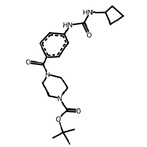 CC(C)(C)OC(=O)N1CCN(C(=O)c2ccc(NC(=O)NC3CCC3)cc2)CC1